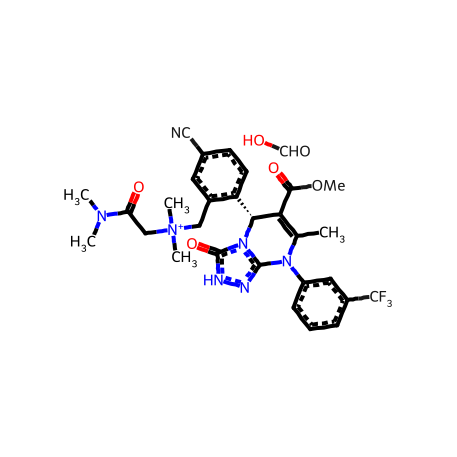 COC(=O)C1=C(C)N(c2cccc(C(F)(F)F)c2)c2n[nH]c(=O)n2[C@@H]1c1ccc(C#N)cc1C[N+](C)(C)CC(=O)N(C)C.O=CO